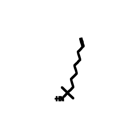 C=CCCCCCCC(C)(C)[NH]